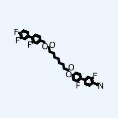 N#Cc1ccc(-c2ccc(OC(=O)CCCCCCCC(=O)OCc3ccc(-c4ccc(F)c(F)c4)c(F)c3)cc2F)cc1F